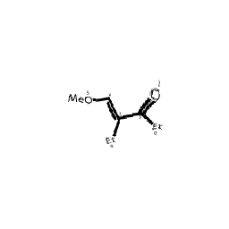 CCC(=O)/C(=C/OC)CC